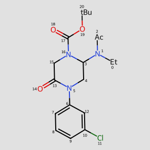 CCN(C(C)=O)C1CN(c2cccc(Cl)c2)C(=O)CN1C(=O)OC(C)(C)C